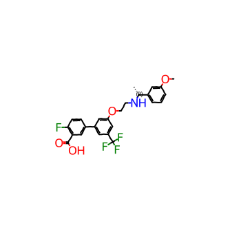 COc1cccc([C@@H](C)NCCOc2cc(-c3ccc(F)c(C(=O)O)c3)cc(C(F)(F)F)c2)c1